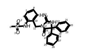 CS(=O)(=O)Nc1ccccc1CN1C(=N)NC(c2ccccc2)(c2ccccc2)C1=O